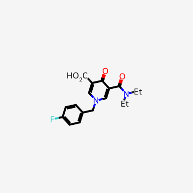 CCN(CC)C(=O)c1cn(Cc2ccc(F)cc2)cc(C(=O)O)c1=O